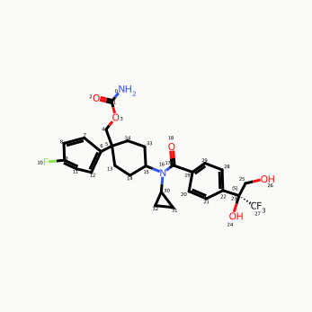 NC(=O)OCC1(c2ccc(F)cc2)CCC(N(C(=O)c2ccc([C@](O)(CO)C(F)(F)F)cc2)C2CC2)CC1